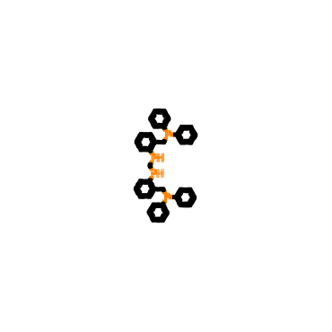 c1ccc(P(Cc2ccccc2PCPc2ccccc2CP(c2ccccc2)c2ccccc2)c2ccccc2)cc1